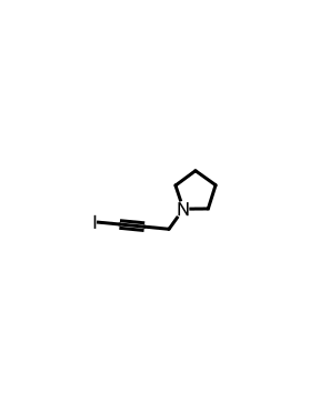 IC#CCN1CCCC1